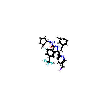 Cc1cccc(C[C@@](NC(=O)NC2CCCC2)(c2cc(F)cc(C(F)(F)F)c2)c2ccc(CI)cn2)c1